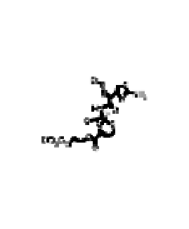 CCON=C(C(=O)NC1C(=O)N2C(C(=O)OCCOC(=O)OCC)=CCS[C@@H]12)c1csc(N)n1